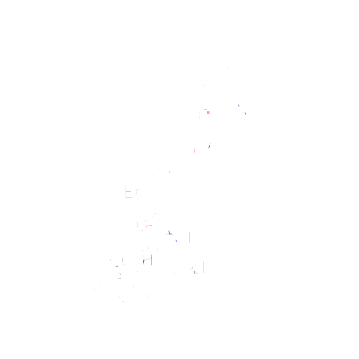 CCc1cc(OC[C@@H]2CN(C)c3ccccc3O2)ccc1C(=O)Nc1cc(C2(C(=O)O)CC2)ccc1Cl